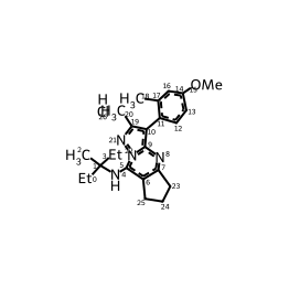 CCC(C)(CC)Nc1c2c(nc3c(-c4ccc(OC)cc4C)c(C)nn13)CCC2.Cl